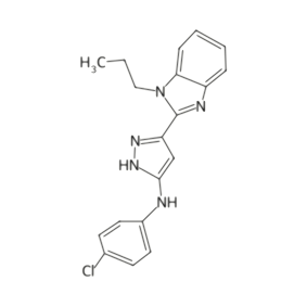 CCCn1c(-c2cc(Nc3ccc(Cl)cc3)[nH]n2)nc2ccccc21